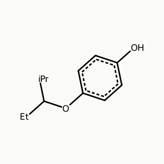 CCC(Oc1ccc(O)cc1)C(C)C